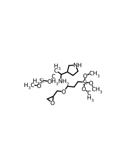 CC(N)C1CCNC1.CO[SiH2]OC.CO[Si](CCCOCC1CO1)(OC)OC